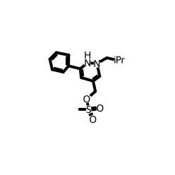 CC(C)CN1C=C(COS(C)(=O)=O)C=C(c2ccccc2)N1